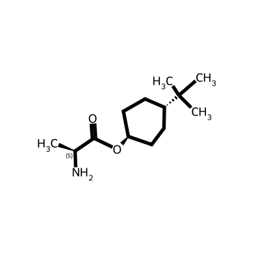 C[C@H](N)C(=O)O[C@H]1CC[C@H](C(C)(C)C)CC1